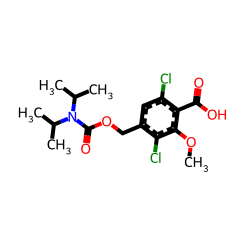 COc1c(Cl)c(COC(=O)N(C(C)C)C(C)C)cc(Cl)c1C(=O)O